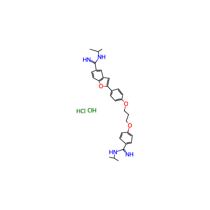 CC(C)NC(=N)c1ccc(OCCCOc2ccc(-c3cc4cc(C(=N)NC(C)C)ccc4o3)cc2)cc1.Cl.Cl